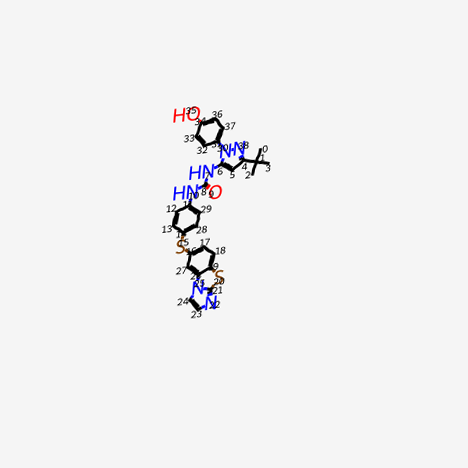 CC(C)(C)c1cc(NC(=O)Nc2ccc(Sc3ccc4sc5nccn5c4c3)cc2)n(-c2ccc(O)cc2)n1